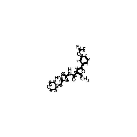 Cc1oc(-c2cccc(OC(F)F)c2)cc1C(=O)NC1=NC(CN2CCOCC2)NS1